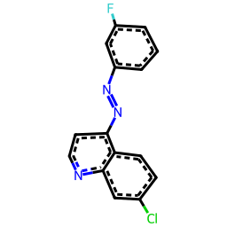 Fc1cccc(N=Nc2ccnc3cc(Cl)ccc23)c1